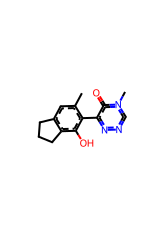 Cc1cc2c(c(O)c1-c1nncn(C)c1=O)CCC2